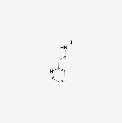 INSCc1ccccn1